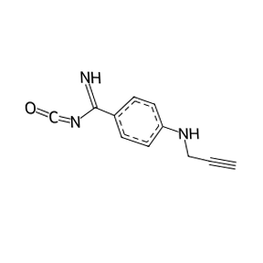 C#CCNc1ccc(C(=N)N=C=O)cc1